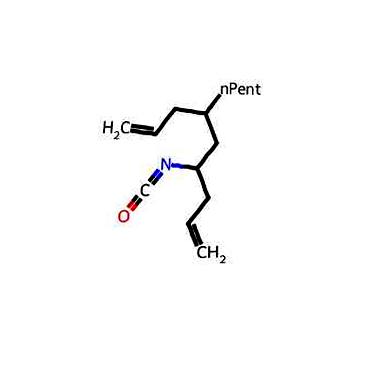 C=CCC(C[CH]CCC)CC(CC=C)N=C=O